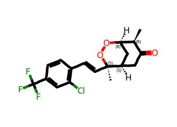 C[C@H]1C(=O)C[C@@H]2C[C@H]1OO[C@]2(C)C=Cc1ccc(C(F)(F)F)cc1Cl